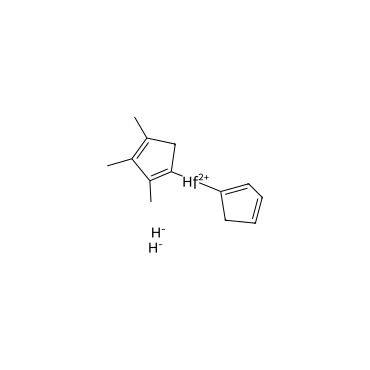 CC1=C(C)C(C)=[C]([Hf+2][C]2=CC=CC2)C1.[H-].[H-]